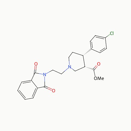 COC(=O)[C@@H]1CN(CCN2C(=O)c3ccccc3C2=O)CC[C@@H]1c1ccc(Cl)cc1